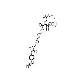 [N-]=[N+]=Nc1ccc(CC(=O)NCCOCCOCCNC(=O)C(CCC(N)=O)NC(=O)O)cc1